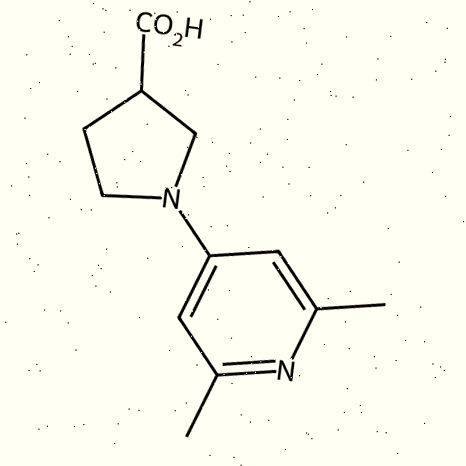 Cc1cc(N2CCC(C(=O)O)C2)cc(C)n1